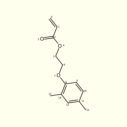 C=CC(=O)OCCOc1ccc(C)cc1C